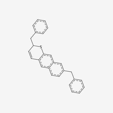 C1=CC(Cc2ccccc2)Sc2cc3cc(Cc4ccccc4)ccc3cc21